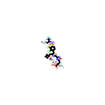 CCC(NS(=O)(=O)c1ccc(-c2sc(-c3noc(CC(C)(C)C(=O)O)n3)nc2CC2(OC)CCC2)c(Cl)c1Cl)C(F)(F)F